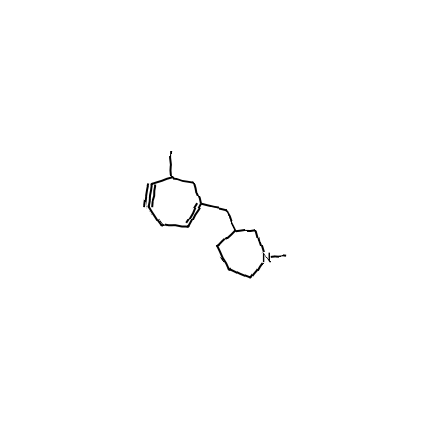 CC1C#CCC=C(CC2CCCN(C)C2)C1